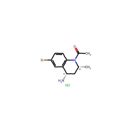 CC(=O)N1c2ccc(Br)cc2[C@@H](N)C[C@H]1C.Cl